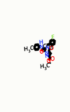 CCOC(=O)c1cc2n(n1)CC(C)(C(=O)NC1CCC(C)CC1)N(Cc1cccc(F)c1)C2=O